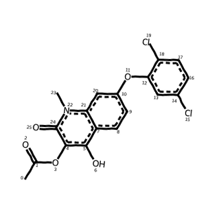 CC(=O)Oc1c(O)c2ccc(Oc3cc(Cl)ccc3Cl)cc2n(C)c1=O